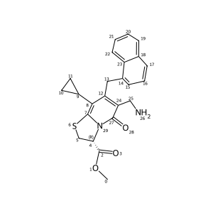 COC(=O)[C@@H]1CSc2c(C3CC3)c(Cc3cccc4ccccc34)c(CN)c(=O)n21